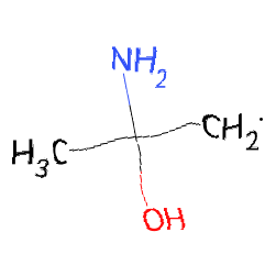 [CH2]C(C)(N)O